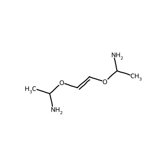 CC(N)OC=COC(C)N